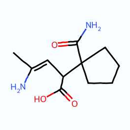 C/C(N)=C/C(C(=O)O)C1(C(N)=O)CCCC1